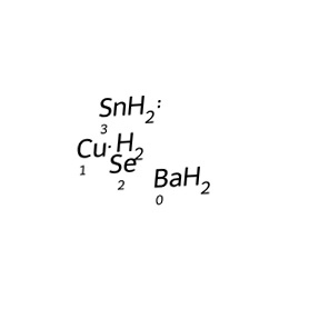 [BaH2].[Cu].[SeH2].[SnH2]